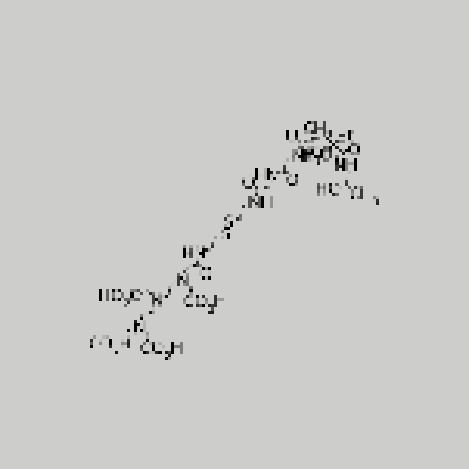 CCC(C)(CC(C)(C)C(=O)NCC(=O)NCC(=O)NCCSSCCNC(=O)CN(CCN(CCN(CC(=O)O)CC(=O)O)CC(=O)O)CC(=O)O)C(=O)NCC(C)O